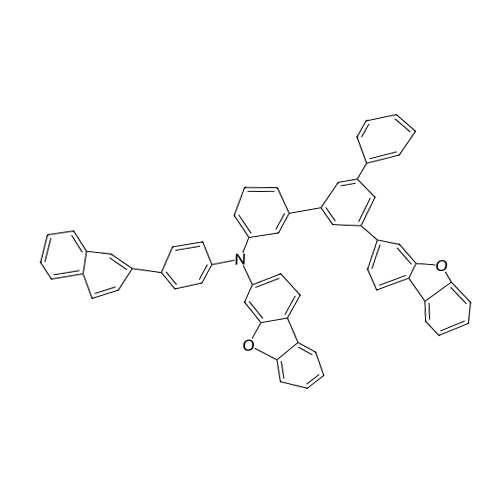 c1ccc(-c2cc(-c3cccc(N(c4ccc(-c5ccc6ccccc6c5)cc4)c4ccc5c(c4)oc4ccccc45)c3)cc(-c3ccc4c(c3)oc3ccccc34)c2)cc1